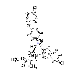 COC(=O)C(C)(C)Cn1c(=O)[nH]/c(=N\c2ccc(Oc3cnc(Cl)cn3)cc2)n(Cc2ccc(Cl)cc2)c1=O